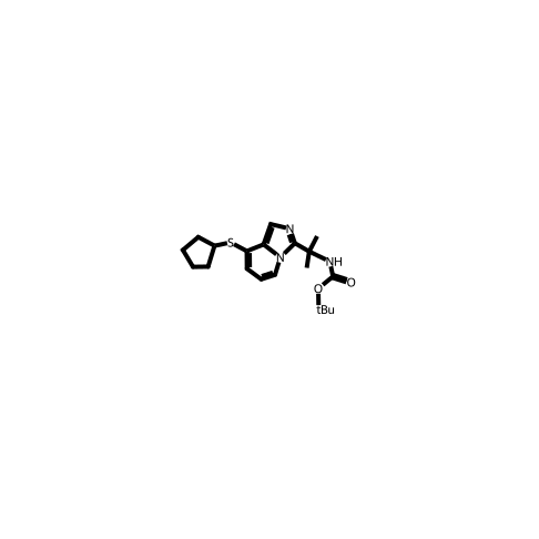 CC(C)(C)OC(=O)NC(C)(C)c1ncc2c(SC3CCCC3)cccn12